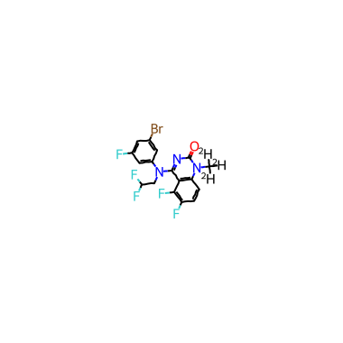 [2H]C([2H])([2H])n1c(=O)nc(N(CC(F)F)c2cc(F)cc(Br)c2)c2c(F)c(F)ccc21